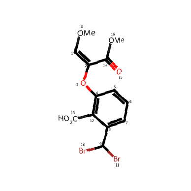 COC=C(Oc1cccc(C(Br)Br)c1C(=O)O)C(=O)OC